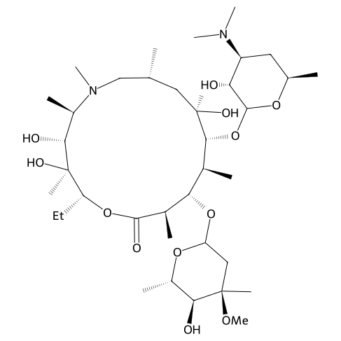 CC[C@H]1OC(=O)[C@H](C)[C@@H](OC2C[C@@](C)(OC)[C@@H](O)[C@H](C)O2)[C@H](C)[C@@H](OC2O[C@H](C)C[C@H](N(C)C)[C@H]2O)[C@](C)(O)C[C@@H](C)CN(C)[C@H](C)[C@@H](O)[C@]1(C)O